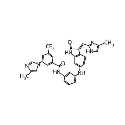 Cc1cn(-c2cc(C(=O)Nc3cccc(Nc4ccc5c(c4)NC(=O)C5=Cc4nc(C)c[nH]4)c3)cc(C(F)(F)F)c2)cn1